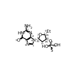 CC[C@H]1O[C@@H](n2cnc3c(=O)[nH]c(N)nc32)C[C@H]1OP(O)(O)=S